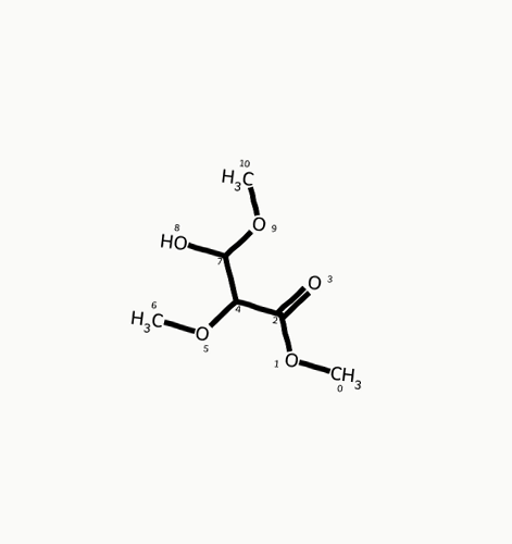 COC(=O)C(OC)C(O)OC